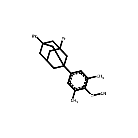 CCC12CC3CC(c4cc(C)c(OC#N)c(C)c4)(C1)CC(C(C)C)(C3)C2